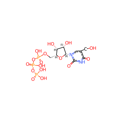 O=c1[nH]c(=O)n([C@@H]2O[C@H](COP(=O)(O)OP(=O)(O)OP(=O)(O)O)[C@H](O)[C@@H]2O)cc1CO